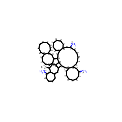 CC1CC2C(CC3CCCCC(N)C13)C1CC3CCCCCCC(N)CC3CCCCCC(N)CC3CCCCCCC3CC(C3CCCCCC4CCCCCCCC4C3)C21